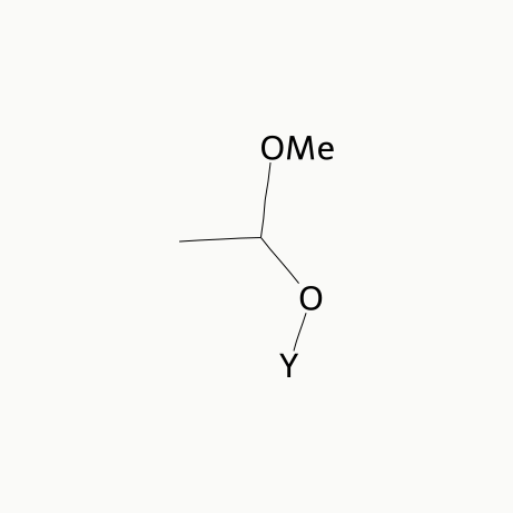 COC(C)[O][Y]